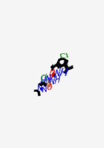 CC(C)c1cc(Cl)cc(C(C)C)c1NC(=O)NS(=N)(=O)c1nn(C(C)C)cc1Cl